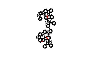 c1ccc(-c2nc(-c3ccc(-n4c5cccc(-c6ccc7nc(-c8ccc(-n9c%10c(ccc%11oc%12ccccc%12c%11%10)c%10ccc%11c%12ccccc%12n(-c%12cccc%13ccccc%12%13)c%11c%109)cc8)nc(-c8ccccc8)c7c6)c5c5ccc6c7ccc8oc9ccccc9c8c7n(-c7cccc8ccccc78)c6c54)cc3)nc3ccccc23)cc1